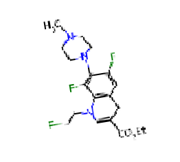 CCOC(=O)C1=CN(CCF)c2c(cc(F)c(N3CCN(C)CC3)c2F)C1